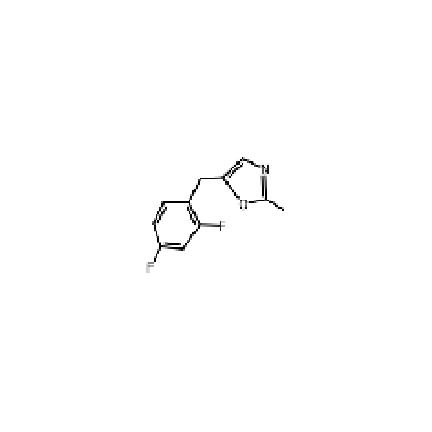 Cc1ncc(Cc2ccc(F)cc2F)o1